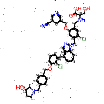 N#Cc1cncc(COc2cc(Cn3ncc4c(-c5cccc(OCc6ccc(CN7CC[C@@H](O)C7)cc6)c5Cl)cccc43)c(Cl)cc2CNC(CO)C(=O)O)c1